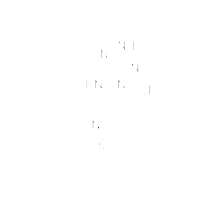 Cc1cccc2cc(CCNc3nc(Cl)nc4[nH]cnc34)n(-c3ccccc3)c(=O)c12